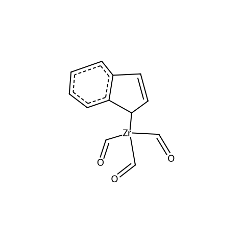 O=[CH][Zr]([CH]=O)([CH]=O)[CH]1C=Cc2ccccc21